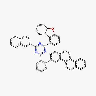 C1=CC2Oc3cccc(-c4nc(-c5ccc6ccccc6c5)nc(-c5ccccc5-c5ccc6ccc7c8ccccc8ccc7c6c5)n4)c3C2C=C1